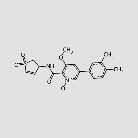 COc1cc(-c2ccc(C)c(C)c2)c[n+]([O-])c1C(=O)NC1C=CS(=O)(=O)C1